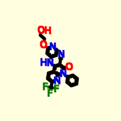 N#Cc1c(Nc2ccnc(OCCO)c2)c2ccc(C(F)(F)F)nc2n(-c2ccccc2)c1=O